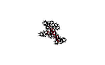 c1cc(-c2ccc3nccc(-c4cccc(-n5c6ccccc6c6cc(-c7ccc8oc9ccccc9c8c7)ccc65)c4)c3c2-c2cccc(-n3c4ccccc4c4cc(-c5ccc6oc7ccccc7c6c5)ccc43)c2)cc(-n2c3ccccc3c3cc(-c4ccc5oc6ccccc6c5c4)ccc32)c1